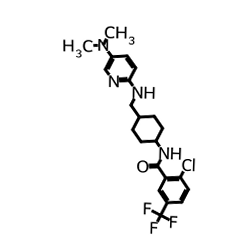 CN(C)c1ccc(NCC2CCC(NC(=O)c3cc(C(F)(F)F)ccc3Cl)CC2)nc1